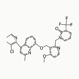 C/C=N\C(=C(/C)Cl)c1cc(C)nc2c(OCc3c(OC)ccnc3Cn3cccc(C(F)(F)F)c3=O)cccc12